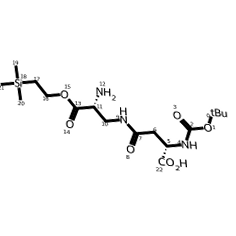 CC(C)(C)OC(=O)N[C@@H](CC(=O)NC[C@@H](N)C(=O)OCC[Si](C)(C)C)C(=O)O